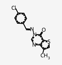 Cc1csc2c(=O)n(N=Cc3ccc(Cl)cc3)cnc12